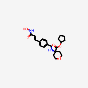 O=C(C=Cc1ccc(CNC2(C(=O)OC3CCCC3)CCOCC2)cc1)NO